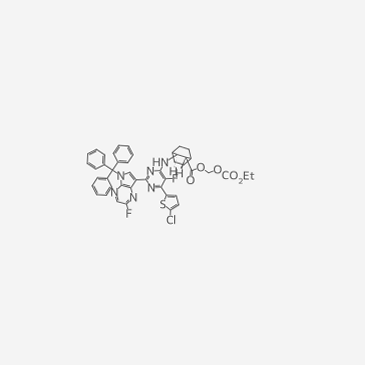 CCOC(=O)OCOC(=O)[C@H]1C2CCC(CC2)[C@@H]1Nc1nc(-c2cn(C(c3ccccc3)(c3ccccc3)c3ccccc3)c3ncc(F)nc23)nc(-c2ccc(Cl)s2)c1F